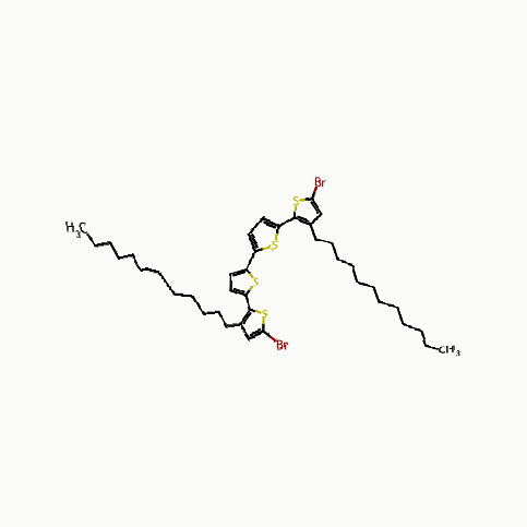 CCCCCCCCCCCCc1cc(Br)sc1-c1ccc(-c2ccc(-c3sc(Br)cc3CCCCCCCCCCCC)s2)s1